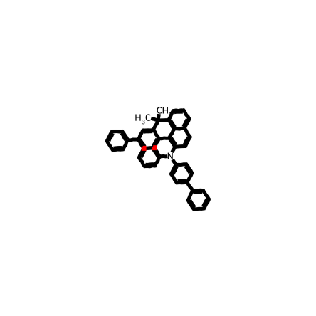 CC1(C)c2cc(-c3ccccc3)ccc2-c2c(N(c3ccccc3)c3ccc(-c4ccccc4)cc3)ccc3cccc1c23